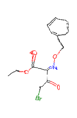 CCOC(=O)/C(=N\OCc1ccccc1)C(=O)CBr